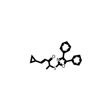 CC(Sc1nc(-c2ccccc2)c(-c2ccccc2)o1)C(=O)/C=C/C1CC1